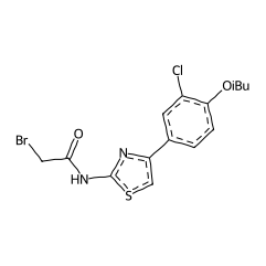 CC(C)COc1ccc(-c2csc(NC(=O)CBr)n2)cc1Cl